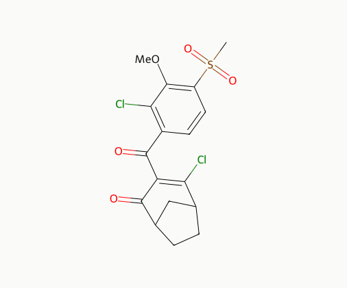 COc1c(S(C)(=O)=O)ccc(C(=O)C2=C(Cl)C3CCC(C3)C2=O)c1Cl